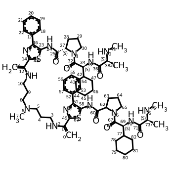 C=C(NCCCN(C)CCCNC(=C)c1nc(-c2ccccc2)c(NC(=O)[C@@H]2CCCN2C(=O)[C@@H](NC(=O)[C@H](C)NC)C2CCCCC2)s1)c1nc(-c2ccccc2)c(NC(=O)C2CCCN2C(=O)[C@@H](NC(=O)[C@H](C)NC)C2CCCCC2)s1